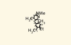 C=Cc1cc(SC2=CN=C(NC)CC2C)c(C)cc1CC